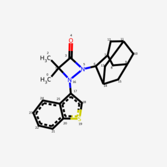 CC1(C)C(=O)N(C2C3CC4CC(C3)CC2C4)N1c1csc2ccccc12